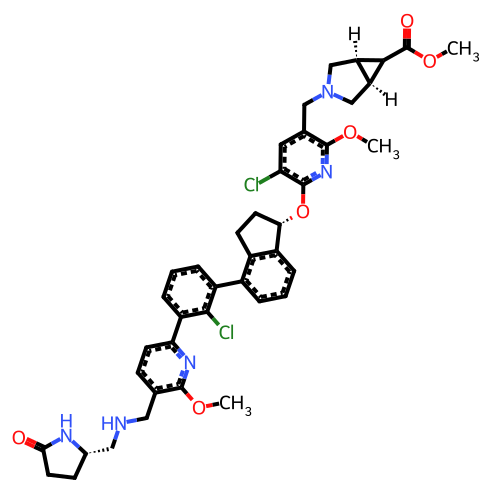 COC(=O)C1[C@H]2CN(Cc3cc(Cl)c(O[C@H]4CCc5c(-c6cccc(-c7ccc(CNC[C@@H]8CCC(=O)N8)c(OC)n7)c6Cl)cccc54)nc3OC)C[C@@H]12